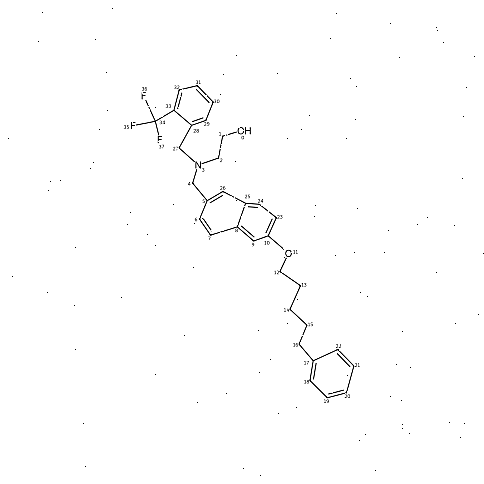 OCCN(Cc1ccc2cc(OCCCCCc3ccccc3)ccc2c1)Cc1ccccc1C(F)(F)F